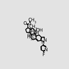 CSC(=O)[C]1CC[C@H]2[C@@H]3CCC4=Cc5c(cnn5-c5ccc(F)nc5)CC4(C)[C@H]3[C@@H](O)C[C@@]12C